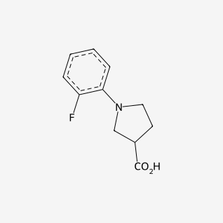 O=C(O)C1CCN(c2ccccc2F)C1